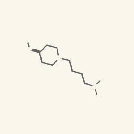 CCCCN(CCCC)CCCCN1CCC(=NO)CC1